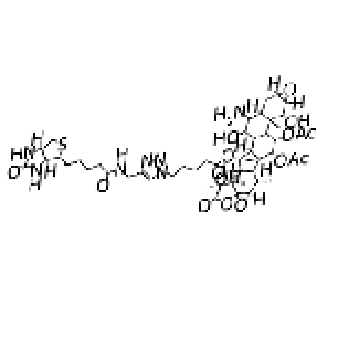 CC(=O)O[C@H]1C2C([C@@H](O)[C@@H](N)[C@H]3C[C@@H]4O[C@@H]4[C@H](O)[C@]23C)[C@@H]2[C@@H](OC(=O)CCCCn3cc(CNC(=O)CCCC[C@@H]4SC[C@@H]5NC(=O)N[C@@H]54)nn3)[C@@H]3[C@H]([C@H](C)[C@H]4O[C@]45OC(=O)[C@@](C)(O)[C@]35C)[C@@]2(C)[C@H]1OC(C)=O